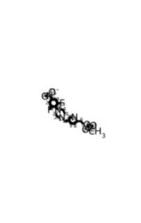 CS(=O)(=O)OCCc1ccc(CN2CCN(c3c(F)cc([N+](=O)[O-])cc3F)CC2)cn1